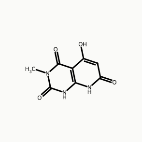 Cn1c(=O)[nH]c2[nH]c(=O)cc(O)c2c1=O